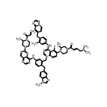 C=CC(=O)N1CCN(c2ncc3ncnc(Nc4ccc(Cc5ccc6c(c5)ncn6C)c(C[n+]5cnc(Nc6ccc(Cc7ccn8ncnc8c7)c(C)c6)c6c(F)c(N7CCN(C(=O)/C=C/CN(C)C)CC7C)ccc65)c4)c3n2)CC1C